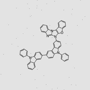 c1ccc(-n2c3ccccc3c3cc(-c4ccc5c(c4)c4cc(-n6c7oc8ccccc8c7n7c8ccccc8nc67)ccc4n5-c4ccccc4)ccc32)cc1